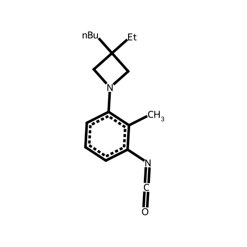 CCCCC1(CC)CN(c2cccc(N=C=O)c2C)C1